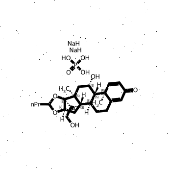 CCCC1O[C@@H]2C[C@H]3[C@@H]4CCC5=CC(=O)C=C[C@]5(C)[C@H]4[C@@H](O)C[C@]3(C)[C@]2(C(=O)CO)O1.O=P(O)(O)O.[NaH].[NaH]